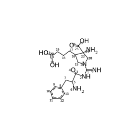 N=C(NC(=O)C(N)Cc1ccccc1)N1CC(CCCB(O)O)C(N)(C(=O)O)C1